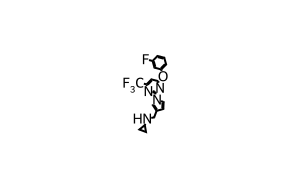 Fc1cccc(Oc2cc(C(F)(F)F)nc(-n3ccc(CNC4CC4)c3)n2)c1